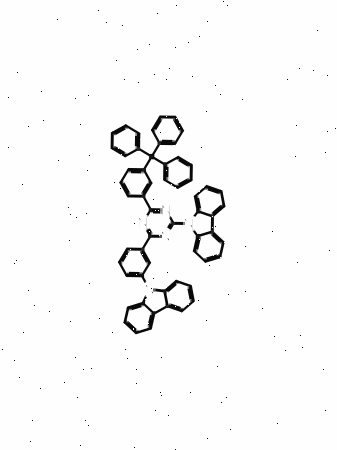 c1ccc(C(c2ccccc2)(c2ccccc2)c2cccc(-c3nc(-c4cccc(-n5c6ccccc6c6ccccc65)c4)nc(-n4c5ccccc5c5ccccc54)n3)c2)cc1